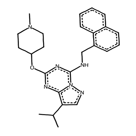 CC(C)c1cnn2c(NCc3cccc4ccccc34)nc(OC3CCN(C)CC3)nc12